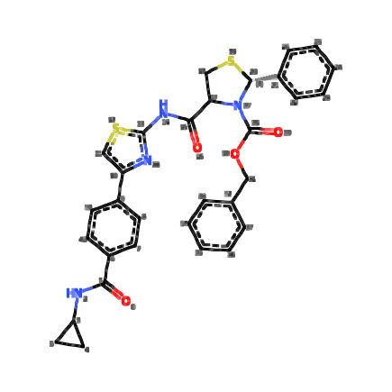 O=C(NC1CC1)c1ccc(-c2csc(NC(=O)C3CS[C@H](c4ccccc4)N3C(=O)OCc3ccccc3)n2)cc1